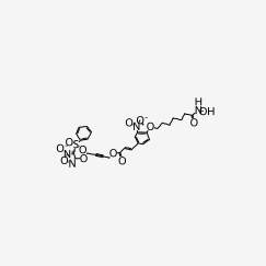 O=C(CCCCCCOc1ccc(C=CC(=O)OCC#CCOc2no[n+]([O-])c2S(=O)(=O)c2ccccc2)cc1[N+](=O)[O-])NO